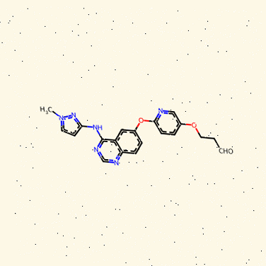 Cn1ccc(Nc2ncnc3ccc(Oc4ccc(OCCC=O)cn4)cc23)n1